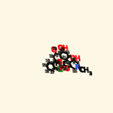 CN1CC[C@H](C2(C)C3=C(C(=O)CC(c4ccccc4Cl)O3)C(O)=CC2O)[C@H](O)C1